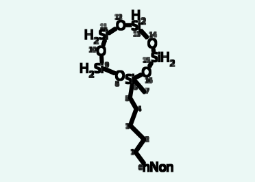 CCCCCCCCCCCCCC[Si]1(C)O[SiH2]O[SiH2]O[SiH2]O[SiH2]O1